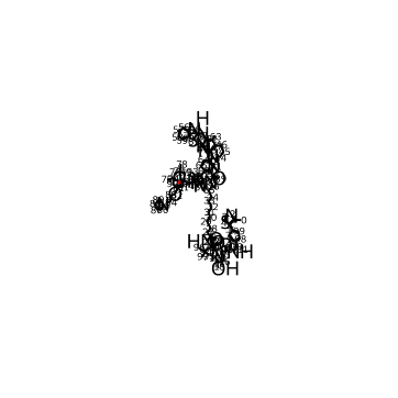 Cc1ncsc1-c1ccc([C@H](C)NC(=O)[C@@H]2C[C@@H](O)CN2C(=O)[C@@H](NC(=O)CCCCCCCCCCNC(=O)c2nc(N3CCCc4c3nnc(Nc3nc5ccccc5s3)c4C)ccc2-c2cnn(CC34CC5(C)CC(C)(C3)CC(OCCN3CCCC3)(C5)C4)c2C)C(C)(C)C)cc1